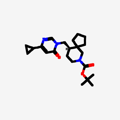 CC(C)(C)OC(=O)N1CC[C@@H](Cn2cnc(C3CC3)cc2=O)C2(CCCC2)C1